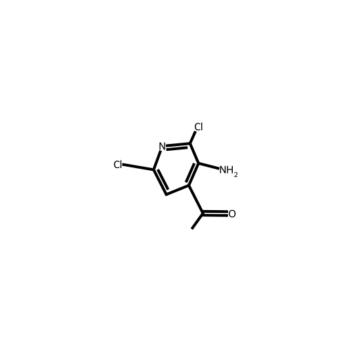 CC(=O)c1cc(Cl)nc(Cl)c1N